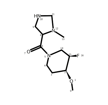 CO[C@H]1CCN(C(=O)C2CNCN2C)C[C@H]1F